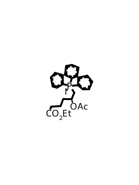 CCOC(=O)CCC[C@@H](CP(I)(c1ccccc1)(c1ccccc1)c1ccccc1)OC(C)=O